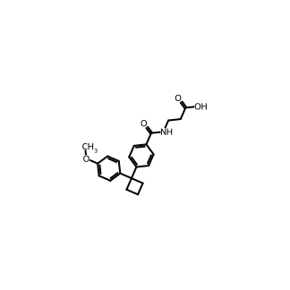 COc1ccc(C2(c3ccc(C(=O)NCCC(=O)O)cc3)CCC2)cc1